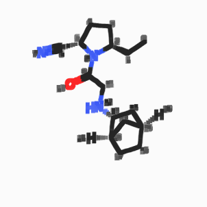 CC[C@@H]1CC[C@@H](C#N)N1C(=O)CN[C@@H]1C[C@H]2CC[C@@H]1C2